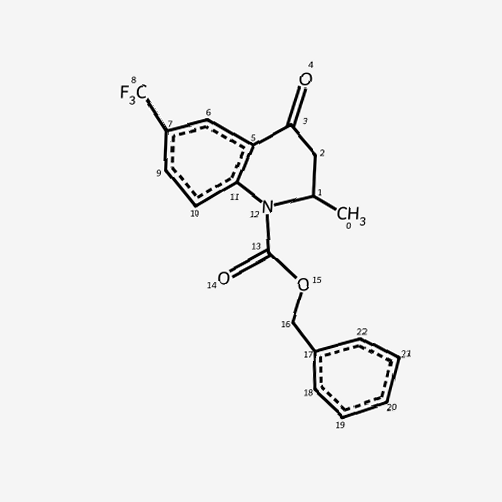 CC1CC(=O)c2cc(C(F)(F)F)ccc2N1C(=O)OCc1ccccc1